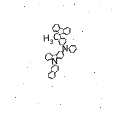 CC1(c2ccc(N(c3ccccc3)c3ccc4c(c3)c3ccccc3n4-c3ccc4ccccc4c3)cc2)c2ccccc2-c2ccccc21